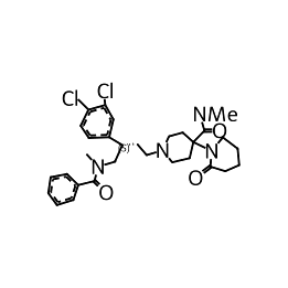 CNC(=O)C1(N2CCCCC2=O)CCN(CC[C@H](CN(C)C(=O)c2ccccc2)c2ccc(Cl)c(Cl)c2)CC1